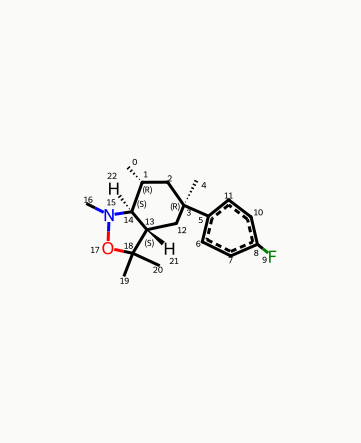 C[C@@H]1C[C@@](C)(c2ccc(F)cc2)C[C@H]2[C@H]1N(C)OC2(C)C